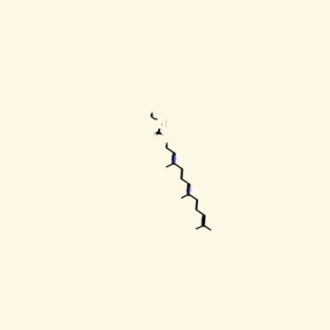 CCOC(=O)CNC(=O)OC/C=C(\C)CC/C=C(\C)CCC=C(C)C